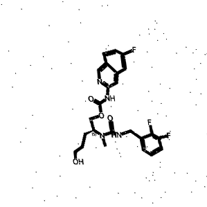 CN(C(=O)NCc1cccc(F)c1F)[C@@H](CCCO)COC(=O)Nc1cc2cc(F)ccc2cn1